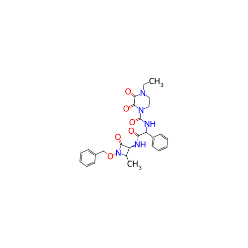 CCN1CCN(C(=O)NC(C(=O)N[C@@H]2C(=O)N(OCc3ccccc3)C2C)c2ccccc2)C(=O)C1=O